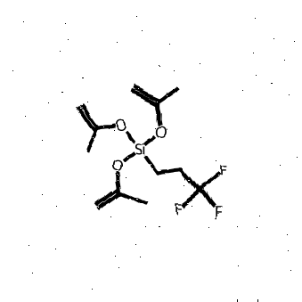 C=C(C)O[Si](CCC(F)(F)F)(OC(=C)C)OC(=C)C